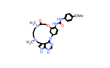 COc1ccc(NC(=O)NC2=C3CC(C=C2)/N=C2\N=CNc4[nH]cc(c42)CN(C)CCCN(C)C(=O)CO3)cc1